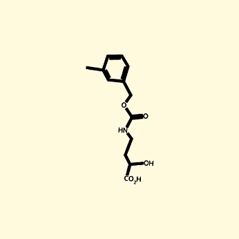 Cc1cccc(COC(=O)NCCC(O)C(=O)O)c1